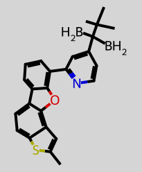 BC(B)(c1ccnc(-c2cccc3c2oc2c4cc(C)sc4ccc32)c1)C(C)(C)C